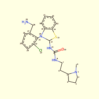 CN1CCCC1CCNC(=O)NC1Sc2ccccc2N1c1c(Cl)cccc1CN